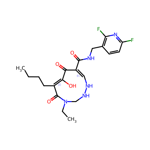 CCCC/C1=C(/O)C(=O)/C(C(=O)NCc2ccc(F)nc2F)=C\NNCN(CC)C1=O